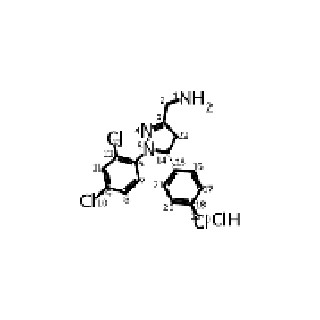 Cl.NCC1=NN(c2ccc(Cl)cc2Cl)[C@@H](c2ccc(Cl)cc2)C1